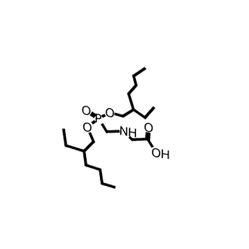 CCCCC(CC)COP(=O)(CNCC(=O)O)OCC(CC)CCCC